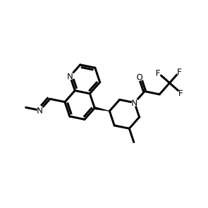 C/N=C/c1ccc([C@@H]2CC(C)CN(C(=O)CC(F)(F)F)C2)c2cccnc12